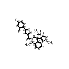 CC(C)[C@@]1(c2cnn(C)c2)CN(C(=O)c2cc(-c3ccc(F)cc3F)on2)[C@@H](C)c2ccccc21